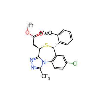 COc1ccccc1[C@H]1S[C@H](CC(=O)OC(C)C)c2nnc(C(F)(F)F)n2-c2ccc(Cl)cc21